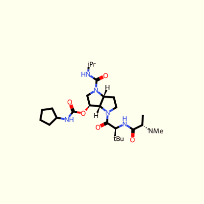 CN[C@@H](C)C(=O)N[C@H](C(=O)N1CC[C@@H]2[C@H]1[C@@H](OC(=O)NC1CCCC1)CN2C(=O)NC(C)C)C(C)(C)C